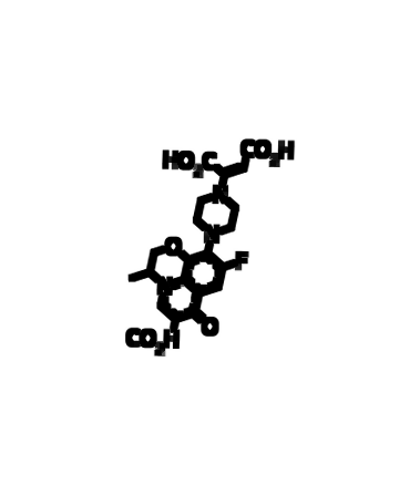 CC1COc2c(N3CCN(/C(=C/C(=O)O)C(=O)O)CC3)c(F)cc3c(=O)c(C(=O)O)cn1c23